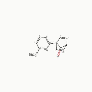 CCOC(=O)c1cccc(C23C=CC(CC2)C3=O)c1